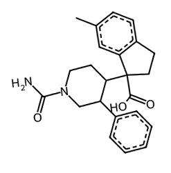 Cc1ccc2c(c1)C(C(=O)O)(C1CCN(C(N)=O)CC1c1ccccc1)CC2